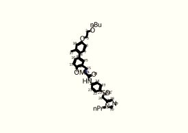 CCCCOCCOc1ccc(-c2ccc(OC)c(/C=C/C(=O)Nc3ccc([S@+]([O-])Cc4cncn4CCC)cc3)c2)c(C)c1